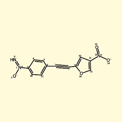 N=[N+]([O-])c1ccc(C#Cc2cc([N+](=O)[O-])co2)cc1